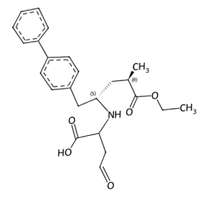 CCOC(=O)[C@H](C)C[C@@H](Cc1ccc(-c2ccccc2)cc1)NC(CC=O)C(=O)O